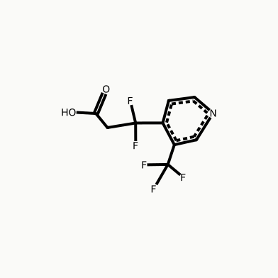 O=C(O)CC(F)(F)c1ccncc1C(F)(F)F